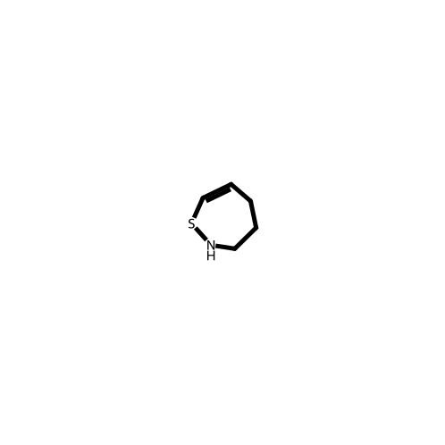 C1=CSNCCC1